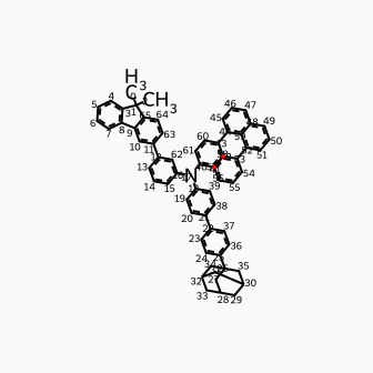 CC1(C)c2ccccc2-c2cc(-c3cccc(N(c4ccc(-c5ccc(C67CC8CC(CC(C8)C6)C7)cc5)cc4)c4ccc(-c5cccc6cccc(-c7ccccc7)c56)cc4)c3)ccc21